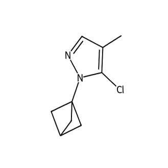 Cc1cnn(C23CC(C2)C3)c1Cl